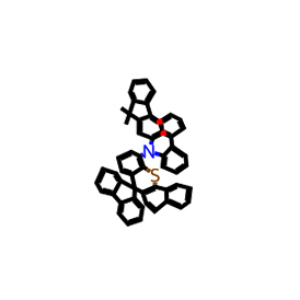 CC1(C)c2ccccc2-c2ccc(N(c3ccccc3-c3ccccc3)c3cccc4c3Sc3c(ccc5ccccc35)C43c4ccccc4-c4ccccc43)cc21